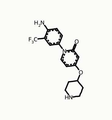 Nc1ccc(-n2ccc(OC3CCNCC3)cc2=O)cc1C(F)(F)F